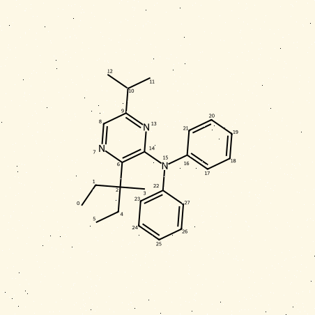 CCC(C)(CC)c1ncc(C(C)C)nc1N(c1ccccc1)c1ccccc1